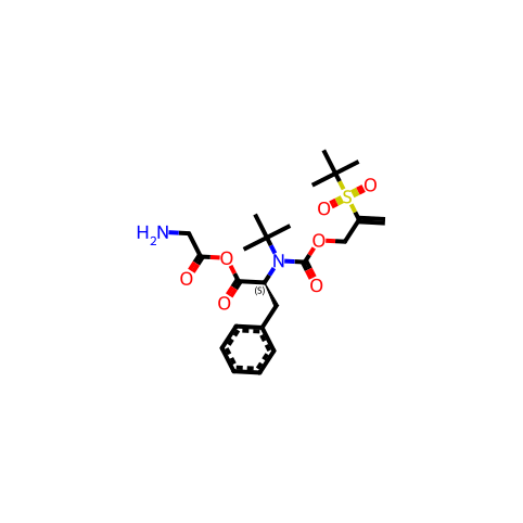 C=C(COC(=O)N([C@@H](Cc1ccccc1)C(=O)OC(=O)CN)C(C)(C)C)S(=O)(=O)C(C)(C)C